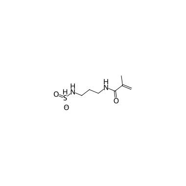 C=C(C)C(=O)NCCCN[SH](=O)=O